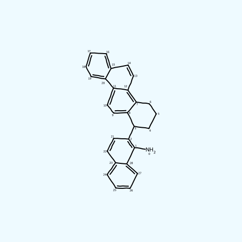 Nc1c(C2CCCc3c2ccc2c3ccc3ccccc32)ccc2ccccc12